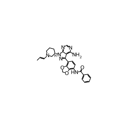 CC=CN1CCC[C@@H](n2nc(-c3ccc(NC(=O)c4ccccc4)c4c3OCO4)c3c(N)ncnc32)C1